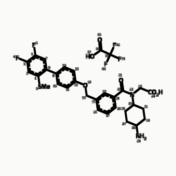 CSc1cc(F)c(F)cc1-c1ccc(OCc2cccc(C(=O)N(CC(=O)O)C3CCC(N)CC3)c2)cc1.O=C(O)C(F)(F)F